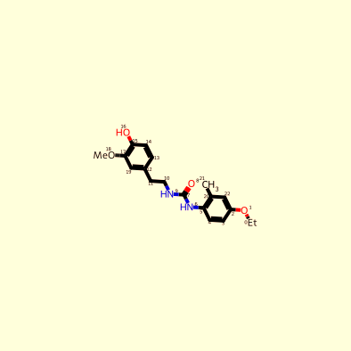 CCOc1ccc(NC(=O)NCCc2ccc(O)c(OC)c2)c(C)c1